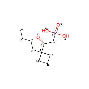 CCCCC1(C(=O)CP(=O)(O)O)CCC1